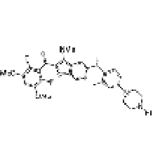 CCN1CCN(c2ccc(Nc3cc4c(NC)c(C(=O)c5c(F)c(OC)cc(OC)c5F)sc4cn3)c(C)c2)CC1